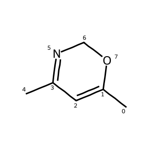 CC1=CC(C)=NCO1